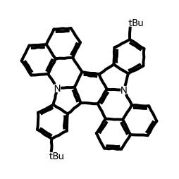 CC(C)(C)c1ccc2c(c1)c1c3c4cccc5cccc(c54)n4c5ccc(C(C)(C)C)cc5c(c5c6cccc7cccc(c76)n2c51)c34